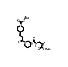 COC(=O)[C@H](C)CNC(=O)[C@@H]1CCCN(C(=O)CCC2CCN(C(=O)OC(C)(C)C)CC2)C1